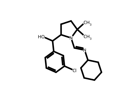 CC1(C)CCC(C(O)c2cccc(Cl)c2)N1C=NC1CCCCC1